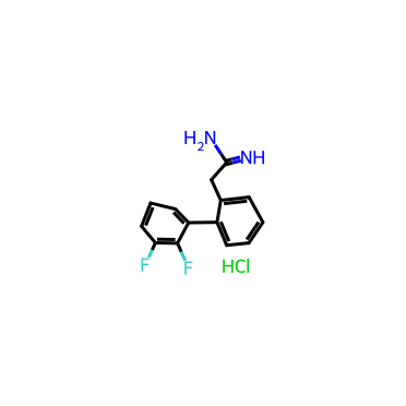 Cl.N=C(N)Cc1ccccc1-c1cccc(F)c1F